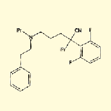 CC(C)N(CCCC(C#N)(c1c(F)cccc1F)C(C)C)CCc1ccccc1